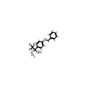 CC(O)(c1ccc(OCc2ccccc2)cc1)C(F)(F)F